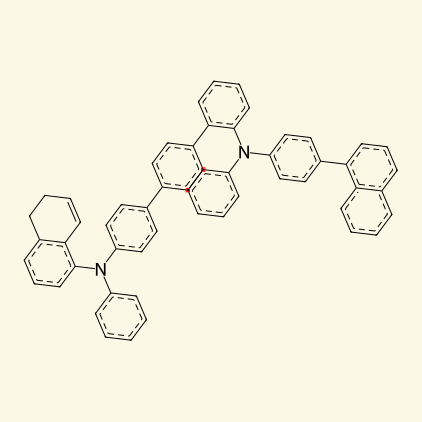 C1=Cc2c(cccc2N(c2ccccc2)c2ccc(-c3ccc(-c4ccccc4N(c4ccccc4)c4ccc(-c5cccc6ccccc56)cc4)cc3)cc2)CC1